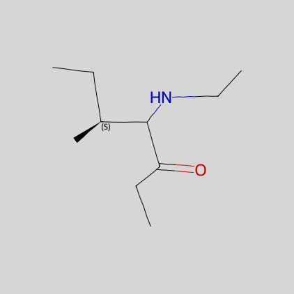 CCNC(C(=O)CC)[C@@H](C)CC